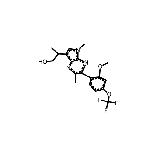 COc1cc(OC(F)(F)F)ccc1-c1nc2c(nc1C)c(C(C)CO)cn2C